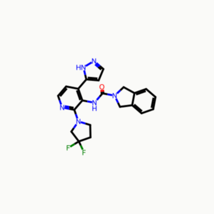 O=C(Nc1c(-c2ccn[nH]2)ccnc1N1CCC(F)(F)C1)N1Cc2ccccc2C1